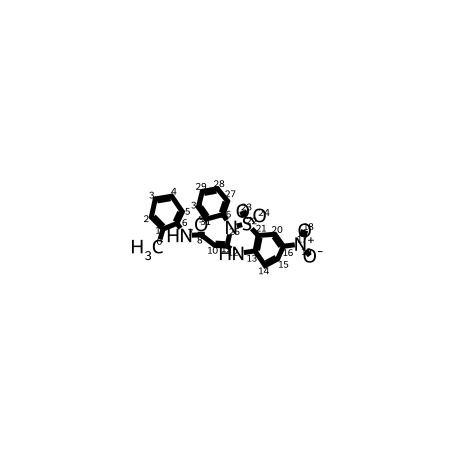 Cc1ccccc1NC(=O)/C=C1/Nc2ccc([N+](=O)[O-])cc2S(=O)(=O)N1c1ccccc1